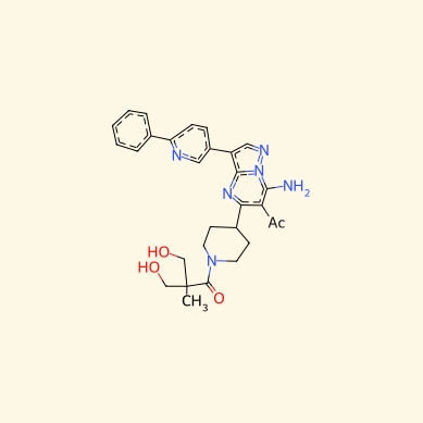 CC(=O)c1c(C2CCN(C(=O)C(C)(CO)CO)CC2)nc2c(-c3ccc(-c4ccccc4)nc3)cnn2c1N